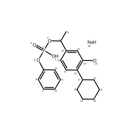 CC(OP(=O)(O)Oc1ccccc1)c1ccc(C2CCCCC2)c(Cl)c1.[NaH]